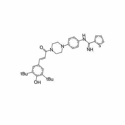 CC(C)(C)c1cc(/C=C/C(=O)N2CCN(c3ccc(NC(=N)c4cccs4)cc3)CC2)cc(C(C)(C)C)c1O